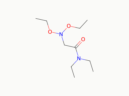 CCON(CC(=O)N(CC)CC)OCC